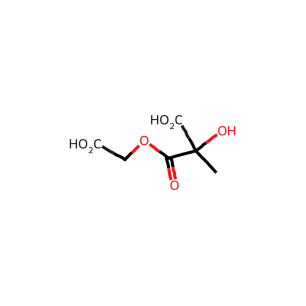 CC(O)(C(=O)O)C(=O)OCC(=O)O